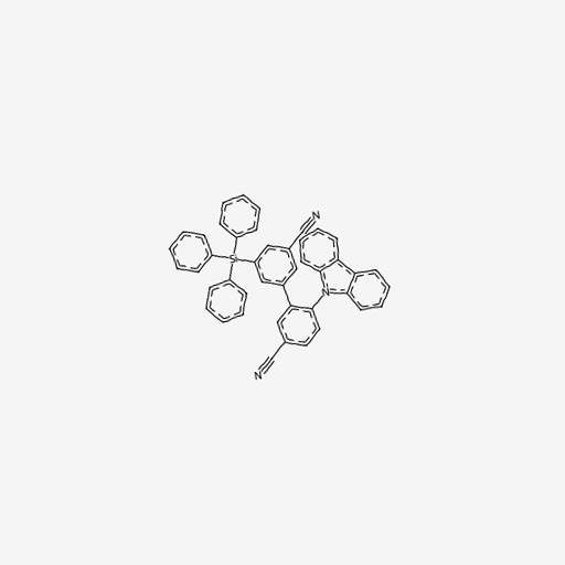 N#Cc1cc(-c2cc(C#N)ccc2-n2c3ccccc3c3ccccc32)cc([Si](c2ccccc2)(c2ccccc2)c2ccccc2)c1